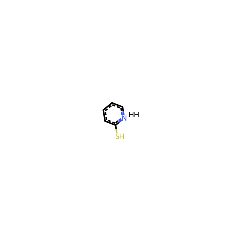 Sc1ccccn1.[HH]